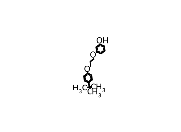 CC(C)(C)c1ccc(OCCCOc2cccc(O)c2)cc1